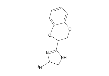 [2H]C1CNC(C2COc3ccccc3O2)=N1